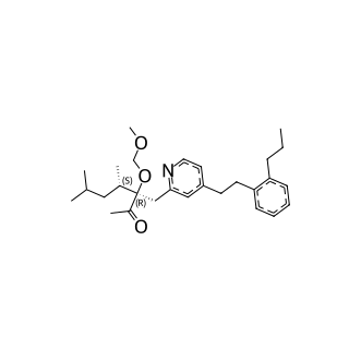 CCCc1ccccc1CCc1ccnc(C[C@](OCOC)(C(C)=O)[C@@H](C)CC(C)C)c1